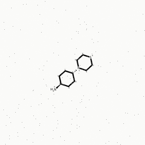 N[C@H]1CC[C@H](N2CCSCC2)CC1